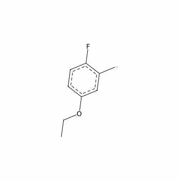 [CH2]c1cc(OCC)ccc1F